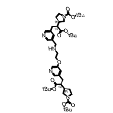 CC(C)(C)OC(=O)[C@@H](Cc1cncc(CNCCOc2cncc(C[C@H](C(=O)OC(C)(C)C)[C@H]3CCN(C(=O)OC(C)(C)C)C3)c2)c1)[C@H]1CCN(C(=O)OC(C)(C)C)C1